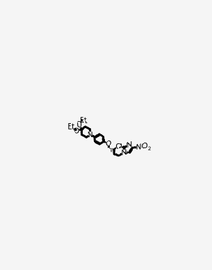 CCOC1(OCC)CCN(c2ccc(OC[C@H]3CCn4cc([N+](=O)[O-])nc4O3)cc2)CC1